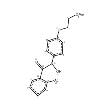 COCCOc1ccc(N(O)C(=O)c2ccccc2C(C)=O)cc1